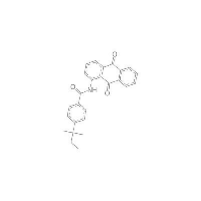 CCC(C)(C)c1ccc(C(=O)Nc2cccc3c2C(=O)c2ccccc2C3=O)cc1